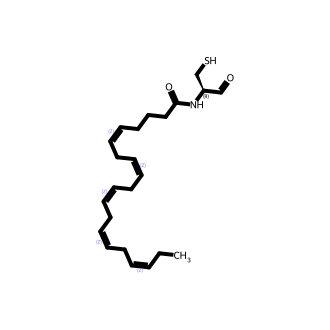 CC/C=C\C/C=C\C/C=C\C/C=C\C/C=C\CCCC(=O)N[C@H](C=O)CS